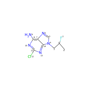 CC(F)Cn1cnc2c(N)nc(Cl)nc21